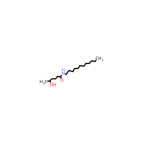 CCCCCCCCCCCCNC(=O)CCCC(C)O